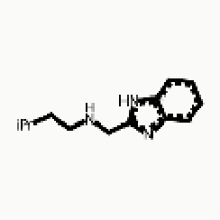 CC(C)CCNCc1nc2ccccc2[nH]1